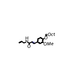 C=CCNC(=O)/C=C/c1ccc(OCCCCCCCC)c(OC)c1